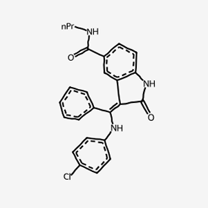 CCCNC(=O)c1ccc2c(c1)/C(=C(/Nc1ccc(Cl)cc1)c1ccccc1)C(=O)N2